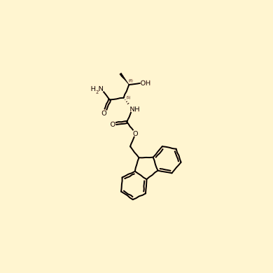 C[C@@H](O)[C@H](NC(=O)OCC1c2ccccc2-c2ccccc21)C(N)=O